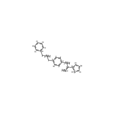 N=C(Nc1ccc(CNCc2ccccc2)cc1)c1cccs1